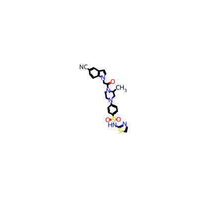 CC1CN(c2ccc(S(=O)(=O)Nc3nccs3)cc2)CCN1C(=O)Cn1ccc2cc(C#N)ccc21